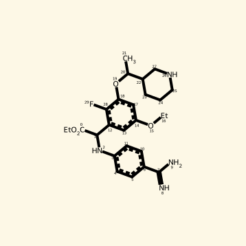 CCOC(=O)C(Nc1ccc(C(=N)N)cc1)c1cc(OCC)cc(OC(C)C2CCCNC2)c1F